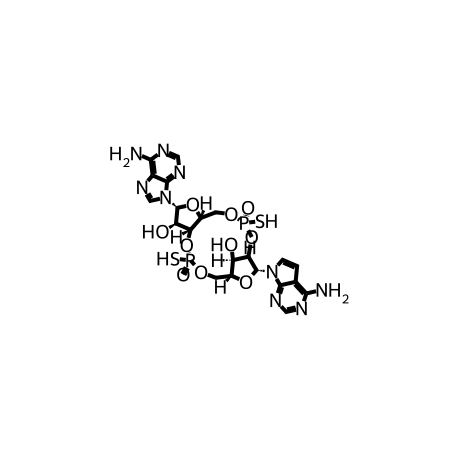 Nc1ncnc2c1ccn2[C@@H]1O[C@@H]2COP(=O)(S)O[C@@H]3[C@@H](O)[C@H](n4cnc5c(N)ncnc54)O[C@@H]3COP(=O)(S)O[C@@H]1[C@@H]2O